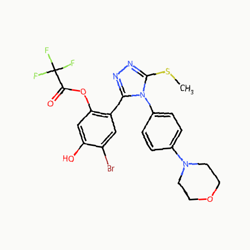 CSc1nnc(-c2cc(Br)c(O)cc2OC(=O)C(F)(F)F)n1-c1ccc(N2CCOCC2)cc1